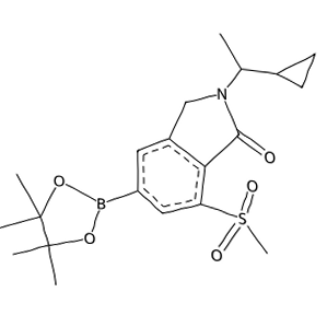 CC(C1CC1)N1Cc2cc(B3OC(C)(C)C(C)(C)O3)cc(S(C)(=O)=O)c2C1=O